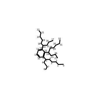 CCCCCC(CCC)c1[c]ccc(C(CCC)CCCCC)c1C(CCC)CCCCC